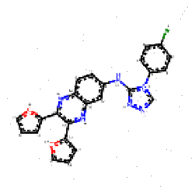 Brc1ccc(-n2cnnc2Nc2ccc3nc(-c4ccco4)c(-c4ccco4)nc3c2)cc1